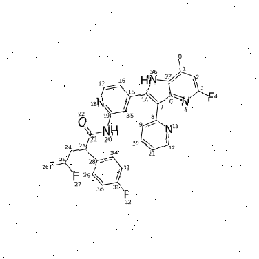 Cc1cc(F)nc2c(-c3ccccn3)c(-c3ccnc(NC(=O)C(CC(F)F)c4ccc(F)cc4)c3)[nH]c12